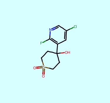 O=S1(=O)CCC(O)(c2cc(Cl)cnc2F)CC1